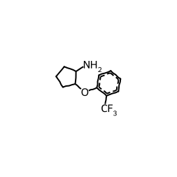 NC1CCCC1Oc1ccccc1C(F)(F)F